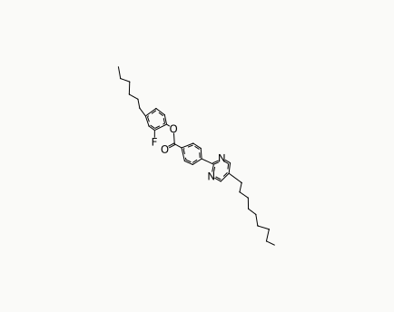 CCCCCCCCCc1cnc(-c2ccc(C(=O)Oc3ccc(CCCCCC)cc3F)cc2)nc1